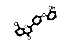 O=c1cc(-c2ccc(Oc3ccccc3O)cc2)oc2c(Cl)cccc12